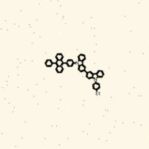 CCc1ccc(-n2c3ccccc3c3cc(-c4ccc5c(c4)c4ccccc4n5-c4ccc(-c5c6ccccc6c(-c6ccccc6)c6ccccc56)cc4)ccc32)cc1